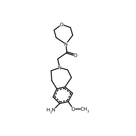 COc1cc2c(cc1N)CCN(CC(=O)N1CCOCC1)CC2